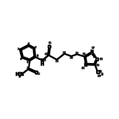 NC(=O)c1ccccc1NC(=O)CCCCc1noc(C(F)(F)F)n1